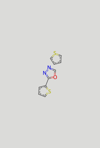 c1ccsc1.c1csc(-c2nnco2)c1